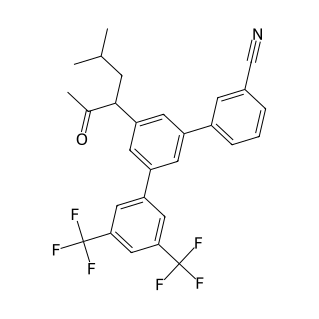 CC(=O)C(CC(C)C)c1cc(-c2cccc(C#N)c2)cc(-c2cc(C(F)(F)F)cc(C(F)(F)F)c2)c1